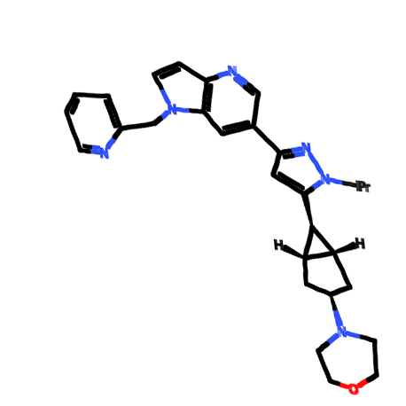 CC(C)n1nc(-c2cnc3ccn(Cc4ccccn4)c3c2)cc1[C@H]1[C@@H]2C[C@@H](N3CCOCC3)C[C@@H]21